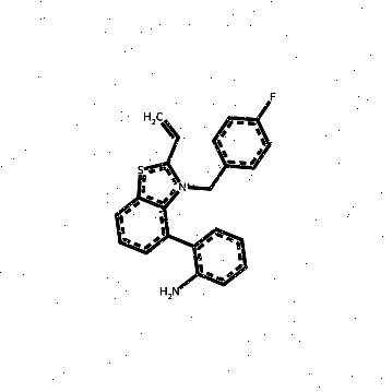 C=Cc1sc2cccc(-c3ccccc3N)c2[n+]1Cc1ccc(F)cc1